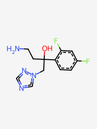 NCCC(O)(Cn1cncn1)c1ccc(F)cc1F